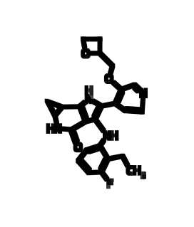 CCc1c(F)cccc1Nc1c(-c2ccncc2OCC2CCO2)[nH]c2c1C(=O)NC1CC21